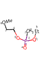 CCOP(C)(=O)OCCOC